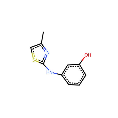 Cc1csc(Nc2cccc(O)c2)n1